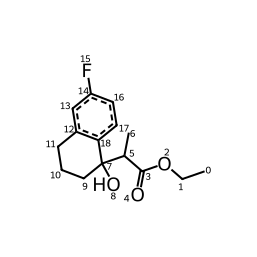 CCOC(=O)C(C)C1(O)CCCc2cc(F)ccc21